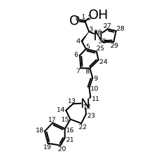 O=C(O)[C@H](Cc1ccc(/C=C/CN2CCC(c3ccccc3)CC2)cc1)n1cccc1